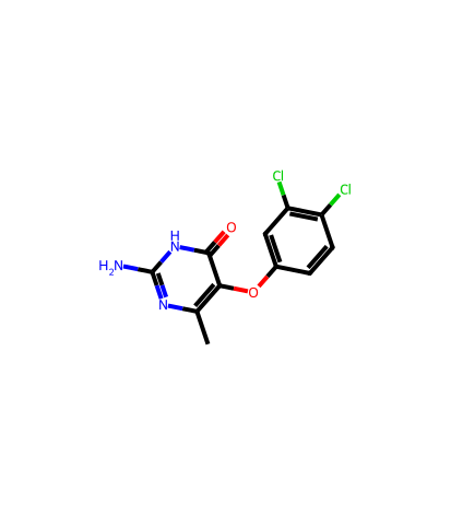 Cc1nc(N)[nH]c(=O)c1Oc1ccc(Cl)c(Cl)c1